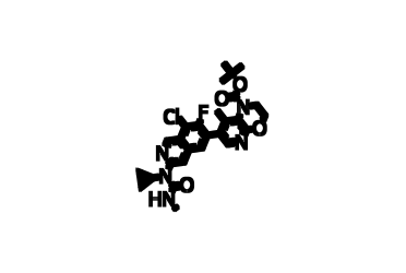 CNC(=O)N(c1cc2cc(-c3cnc4c(c3C)N(C(=O)OC(C)(C)C)CCO4)c(F)c(Cl)c2cn1)C1CC1